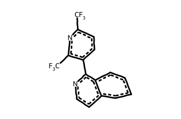 FC(F)(F)c1ccc(-c2nccc3ccccc23)c(C(F)(F)F)n1